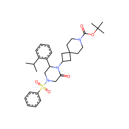 CC(C)c1ccccc1C1CN(S(=O)(=O)c2ccccc2)CC(=O)N1C1CC2(CCN(C(=O)OC(C)(C)C)CC2)C1